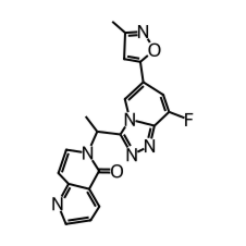 Cc1cc(-c2cc(F)c3nnc(C(C)n4ccc5ncccc5c4=O)n3c2)on1